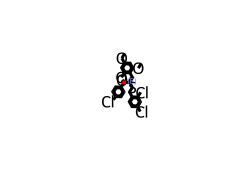 COc1cc(OC)c(/C=C(/SCc2ccc(Cl)cc2Cl)C(=O)c2ccc(Cl)cc2)c(OC)c1